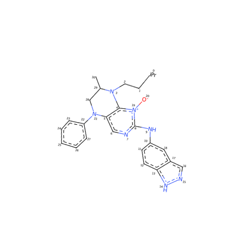 CC(C)CCN1c2c(cnc(Nc3ccc4[nH]ncc4c3)[n+]2[O-])N(c2ccccc2)CC1C